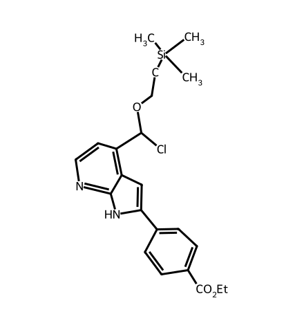 CCOC(=O)c1ccc(-c2cc3c(C(Cl)OCC[Si](C)(C)C)ccnc3[nH]2)cc1